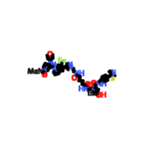 CNC(=O)N1CCc2c(c(N3CCCc4cc(-c5cnn(CCNC(=O)CCCCC(=O)N[C@H](C(=O)N6C[C@H](O)C[C@H]6C(=O)NCc6ccc(-c7scnc7C)cc6)C(C)(C)C)c5)c(C(F)F)cc43)nn2C2CCOCC2)C1